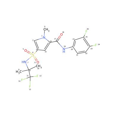 Cn1cc(S(=O)(=O)NC(C)(C)C(F)(F)F)cc1C(=O)Nc1ccc(F)c(F)c1